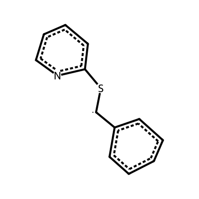 [CH](Sc1ccccn1)c1ccccc1